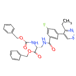 CCc1ncncc1-c1cc(F)cc(C(=O)NC[C@@H](NC(=O)OCc2ccccc2)C(=O)OCc2ccccc2)c1